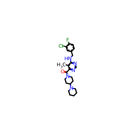 Cc1c(NCc2ccc(F)c(Cl)c2)ncnc1C(=O)N1CCC(N2CCCCC2)CC1